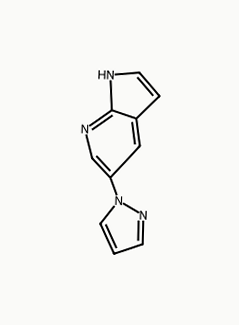 c1cnn(-c2cnc3[nH]ccc3c2)c1